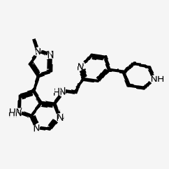 Cn1cc(-c2c[nH]c3ncnc(NCc4cc(C5CCNCC5)ccn4)c23)cn1